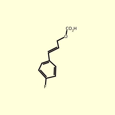 O=C(O)OCC=Cc1ccc(F)cc1